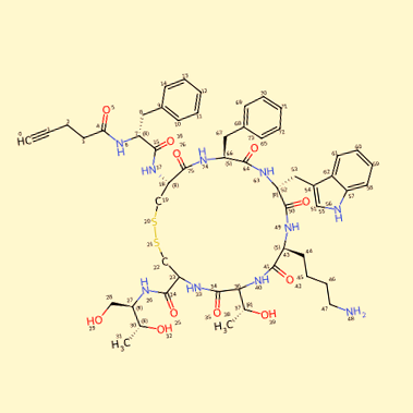 C#CCCC(=O)N[C@H](Cc1ccccc1)C(=O)N[C@H]1CSSCC(C(=O)N[C@H](CO)[C@@H](C)O)NC(=O)C([C@@H](C)O)NC(=O)[C@H](CCCCN)NC(=O)[C@@H](Cc2c[nH]c3ccccc23)NC(=O)[C@H](Cc2ccccc2)NC1=O